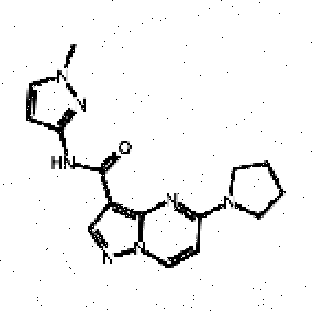 Cn1ccc(NC(=O)c2cnn3ccc(N4CCCC4)nc23)n1